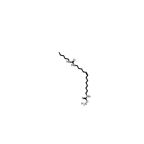 CCCCCNC(=O)NCCCC/C=C\CCCCCCCNC(=S)ON